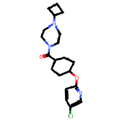 O=C(C1CCC(Oc2ccc(Cl)cn2)CC1)N1CCN(C2CCC2)CC1